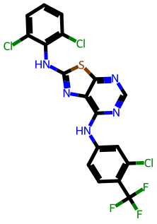 FC(F)(F)c1ccc(Nc2ncnc3sc(Nc4c(Cl)cccc4Cl)nc23)cc1Cl